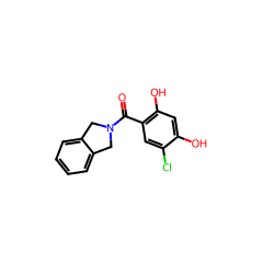 O=C(c1cc(Cl)c(O)cc1O)N1Cc2ccccc2C1